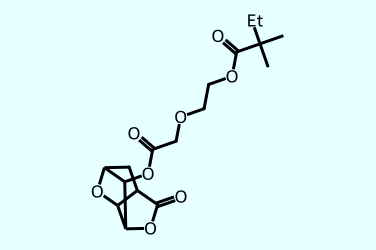 CCC(C)(C)C(=O)OCCOCC(=O)OC1C2CC3C(=O)OC1C3O2